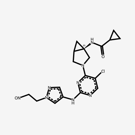 O=NCCn1cc(Nc2ncc(Cl)c(N3CC4C[C@]4(NC(=O)C4CC4)C3)n2)cn1